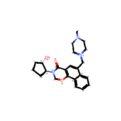 CN1CCN(Cc2cc3c(c4ccccc24)OCN([C@H]2CCC[C@@H]2O)C3=O)CC1